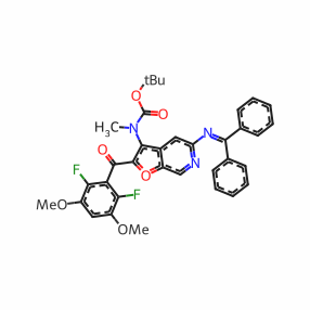 COc1cc(OC)c(F)c(C(=O)c2oc3cnc(N=C(c4ccccc4)c4ccccc4)cc3c2N(C)C(=O)OC(C)(C)C)c1F